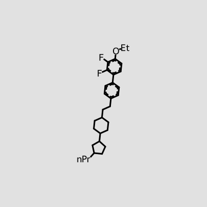 CCCC1CCC(C2CCC(CCc3ccc(-c4ccc(OCC)c(F)c4F)cc3)CC2)C1